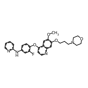 COc1cc2c(Oc3ccc(Nc4ccccn4)cc3F)ccnc2cc1OCCCN1CCOCC1